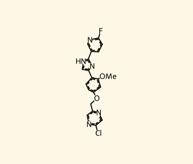 COc1cc(OCc2cnc(Cl)cn2)ccc1-c1c[nH]c(-c2ccc(F)nc2)n1